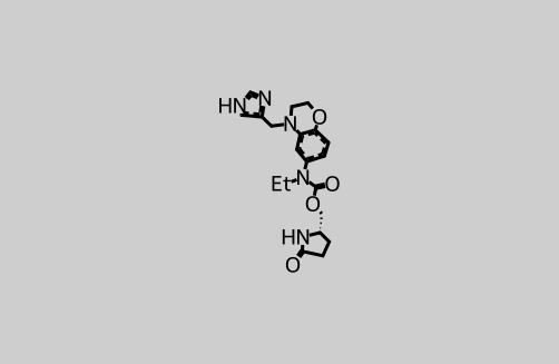 CCN(C(=O)OC[C@@H]1CCC(=O)N1)c1ccc2c(c1)N(Cc1c[nH]cn1)CCO2